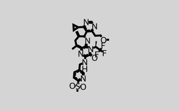 C=C1CC(C)=c2nc(NCc3ccc(S(C)(=O)=O)nc3)c(=O)n([C@@H](C)C(F)(F)F)c2=NC1c1c(CCOC)ncnc1C1CC1